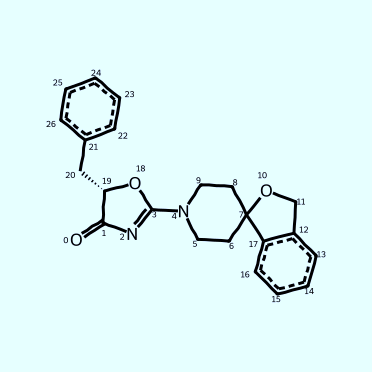 O=C1N=C(N2CCC3(CC2)OCc2ccccc23)O[C@H]1Cc1ccccc1